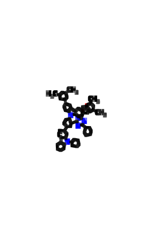 Cc1cc(C)cc(-c2ccc3c(c2)c2cc(-c4cc(C)cc(C)c4)ccc2n3-c2ccc(-c3ccc4c5ccccc5n(-c5ccccc5)c4c3)cc2-c2nc(-c3ccccc3)nc(-c3ccccc3)n2)c1